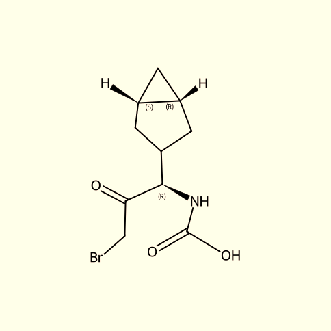 O=C(O)N[C@@H](C(=O)CBr)C1C[C@@H]2C[C@@H]2C1